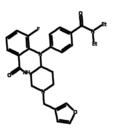 CCN(CC)C(=O)c1ccc(N(c2c(F)cccc2C(N)=O)C2CCN(Cc3ccoc3)CC2)cc1